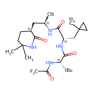 CC1(C[C@H](NC(=O)[C@@H](NC(=O)C(F)(F)F)C(C)(C)C)C(=O)N[C@H](C#N)C[C@@H]2CCC(C)(C)NC2=O)CC1